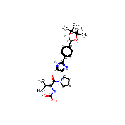 CC(C)[C@H](NC(=O)O)C(=O)N1CCC[C@H]1c1cnc(-c2ccc(B3OC(C)(C)C(C)(C)O3)cc2)[nH]1